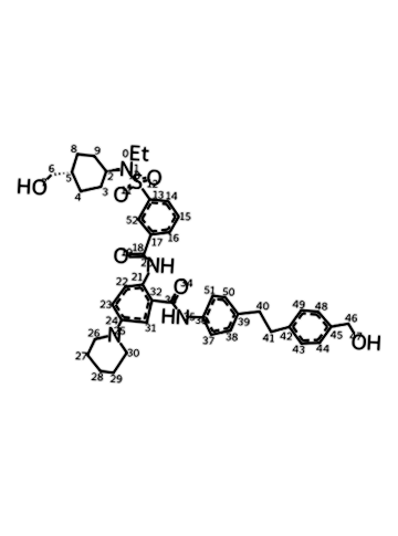 CCN([C@H]1CC[C@H](CO)CC1)S(=O)(=O)c1cccc(C(=O)Nc2ccc(N3CCCCC3)cc2C(=O)Nc2ccc(CCc3ccc(CO)cc3)cc2)c1